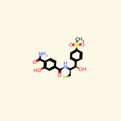 CS(=O)(=O)c1ccc([C@@H](O)[C@@H](CF)NC(=O)c2ccc(C(N)=O)c(O)c2)cc1